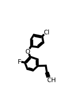 C#CCc1ccc(F)c(Oc2ccc(Cl)cc2)c1